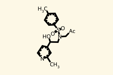 CC(=O)CN(CC(O)c1ccnc(C)c1)S(=O)(=O)c1ccc(C)cc1